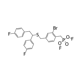 O=P(Cc1ccc(CSC(Cc2ccc(F)cc2)c2ccc(F)cc2)cc1Br)(OF)OF